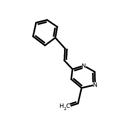 C=Cc1cc(C=Cc2ccccc2)ncn1